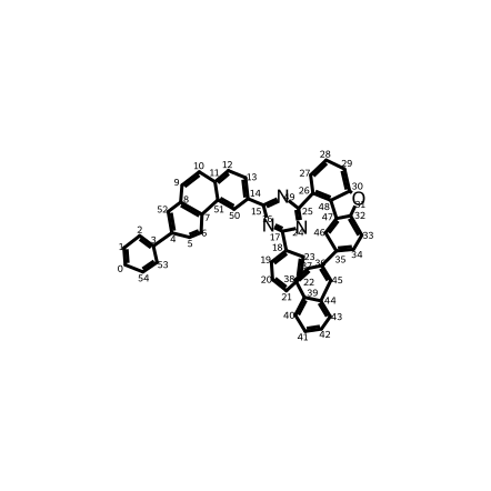 c1ccc(-c2ccc3c(ccc4ccc(-c5nc(-c6ccccc6)nc(-c6cccc7oc8ccc(-c9ccc%10ccccc%10c9)cc8c67)n5)cc43)c2)cc1